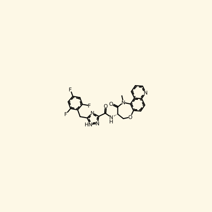 CN1C(=O)[C@@H](NC(=O)c2n[nH]c(Cc3c(F)cc(F)cc3F)n2)COc2ccc3ncccc3c21